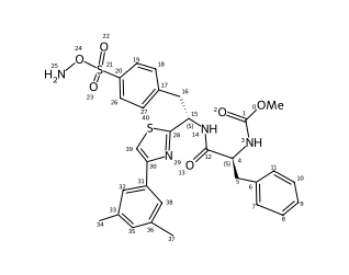 COC(=O)N[C@@H](Cc1ccccc1)C(=O)N[C@@H](Cc1ccc(S(=O)(=O)ON)cc1)c1nc(-c2cc(C)cc(C)c2)cs1